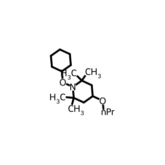 CCCOC1CC(C)(C)N(OC2CCCCC2)C(C)(C)C1